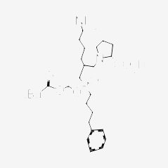 CC(C)(C)C(=O)OCOP(=O)(CCCCc1ccccc1)CC(CCCCN)CN1CCC[C@H]1C(=O)O